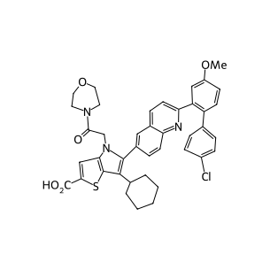 COc1ccc(-c2ccc(Cl)cc2)c(-c2ccc3cc(-c4c(C5CCCCC5)c5sc(C(=O)O)cc5n4CC(=O)N4CCOCC4)ccc3n2)c1